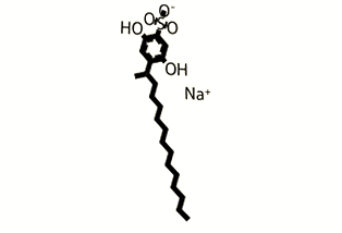 CCCCCCCCCCCCCC(C)c1cc(O)c(S(=O)(=O)[O-])cc1O.[Na+]